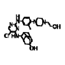 Cc1cc(Nc2ncc(Cl)c(NC3C4CC5CC3CC(O)(C5)C4)n2)ccc1N1CCN(CCO)CC1